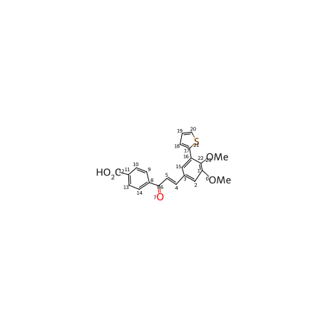 COc1cc(C=CC(=O)c2ccc(C(=O)O)cc2)cc(-c2cccs2)c1OC